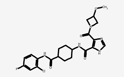 COC1CN(C(=O)c2nc[nH]c2C(=O)NC2CCC(C(=O)Nc3ccc(F)cc3Cl)CC2)C1